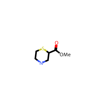 COC(=O)C1C[N]CCS1